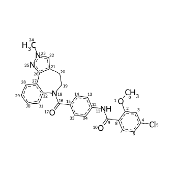 COc1cc(Cl)ccc1C(=O)Nc1ccc(C(=O)N2CCc3cn(C)nc3-c3ccccc32)cc1